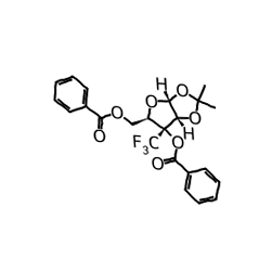 CC1(C)O[C@H]2O[C@H](COC(=O)c3ccccc3)[C@](OC(=O)c3ccccc3)(C(F)(F)F)[C@H]2O1